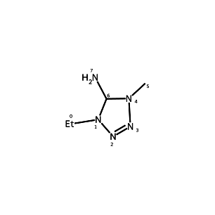 CCN1N=NN(C)C1N